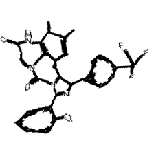 CC1=CC2(C)C3=C(NC(=O)CN3C(=O)N3C(c4ccccc4Cl)=NC(c4ccc(C(F)(F)F)cc4)C32)C1C